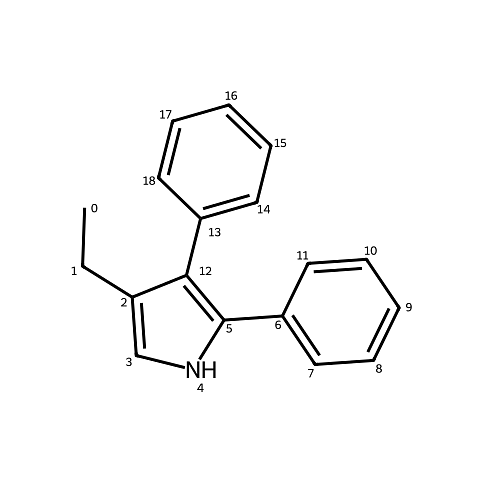 CCc1c[nH]c(-c2ccccc2)c1-c1ccccc1